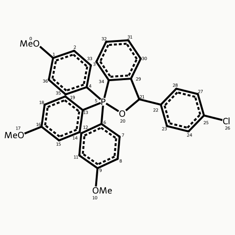 COc1ccc(P2(c3ccc(OC)cc3)(c3ccc(OC)cc3)OC(c3ccc(Cl)cc3)c3ccccc32)cc1